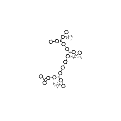 CC1(C)c2ccccc2-c2ccc(N(c3ccc(-c4ccccc4)cc3)c3ccc(-c4ccc(N(c5ccc(-c6ccc(-c7ccc(-c8ccc(N(c9ccc(-c%10ccc%11c(c%10)c%10ccccc%10n%11-c%10ccccc%10)cc9)c9ccc%10c(c9)C(C)(C)c9ccccc9-%10)cc8)cc7)cc6)cc5)c5ccc6c(c5)C(C)(C)c5ccccc5-6)cc4)cc3)cc21